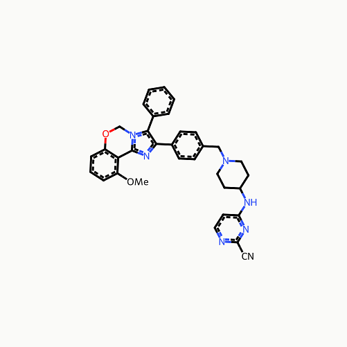 COc1cccc2c1-c1nc(-c3ccc(CN4CCC(Nc5ccnc(C#N)n5)CC4)cc3)c(-c3ccccc3)n1CO2